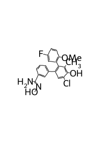 COc1ccc(F)cc1-c1c(-c2cccc(C(N)=NO)c2)cc(Cl)c(O)c1C